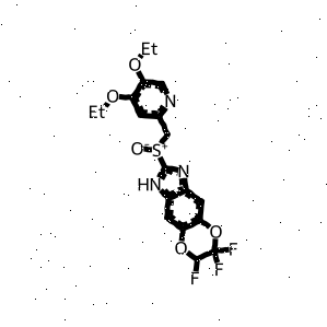 CCOc1cnc(C[S+]([O-])c2nc3cc4c(cc3[nH]2)OC(F)C(F)(F)O4)cc1OCC